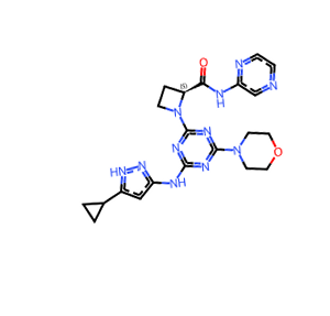 O=C(Nc1cnccn1)[C@@H]1CCN1c1nc(Nc2cc(C3CC3)[nH]n2)nc(N2CCOCC2)n1